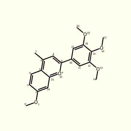 COc1ccc2c(C)cc(-c3cc(OC)c(OC)c(OC)c3)[o+]c2c1